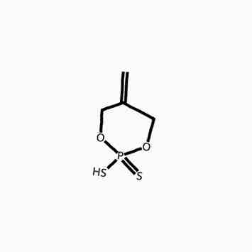 C=C1COP(=S)(S)OC1